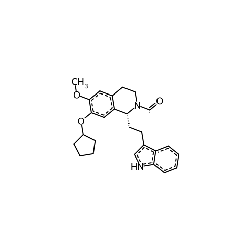 COc1cc2c(cc1OC1CCCC1)[C@@H](CCc1c[nH]c3ccccc13)N([C]=O)CC2